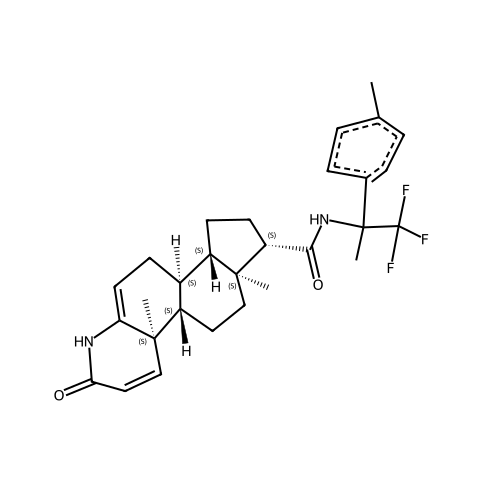 Cc1ccc(C(C)(NC(=O)[C@H]2CC[C@H]3[C@@H]4CC=C5NC(=O)C=C[C@]5(C)[C@H]4CC[C@]23C)C(F)(F)F)cc1